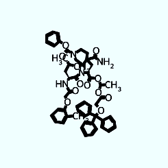 Cc1ccccc1OCC(=O)N[C@@H](CC(C)C)C(=O)N[C@@H](CC1(C(N)=O)CCN(C(=O)Oc2ccccc2)CC1)C(=O)OC(C)OC(=O)COC(c1ccccc1)(c1ccccc1)c1ccccc1